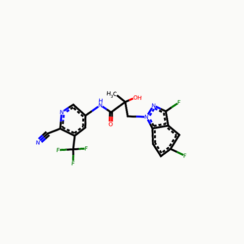 CC(O)(Cn1nc(F)c2cc(F)ccc21)C(=O)Nc1cnc(C#N)c(C(F)(F)F)c1